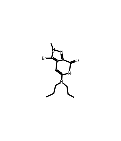 CCCN(CCC)C1=Cc2c(nn(C)c2Br)C(=O)[N]1